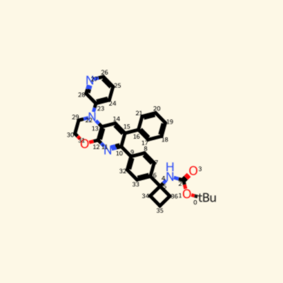 CC(C)(C)OC(=O)NC1(c2ccc(-c3nc4c(cc3-c3ccccc3)N(c3cccnc3)CCO4)cc2)CCC1